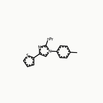 CCCc1nc(-c2cccs2)cn1-c1ccc(C)cc1